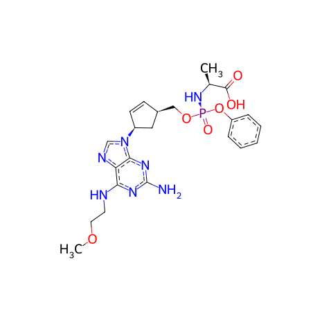 COCCNc1nc(N)nc2c1ncn2[C@H]1C=C[C@@H](CO[P@](=O)(N[C@@H](C)C(=O)O)Oc2ccccc2)C1